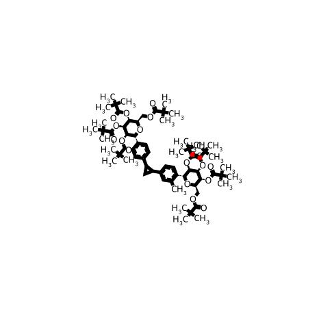 Cc1cc(C2CC2c2ccc([C@H]3O[C@H](COC(=O)C(C)(C)C)[C@@H](OC(=O)C(C)(C)C)[C@H](OC(=O)C(C)(C)C)[C@@H]3OC(=O)C(C)(C)C)cc2)ccc1[C@H]1O[C@H](COC(=O)C(C)(C)C)[C@@H](OC(=O)C(C)(C)C)[C@H](OC(=O)C(C)(C)C)[C@@H]1OC(=O)C(C)(C)C